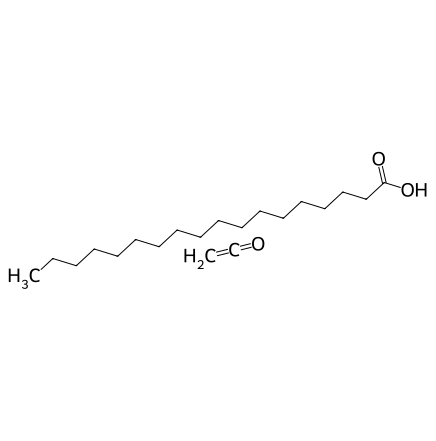 C=C=O.CCCCCCCCCCCCCCCCCC(=O)O